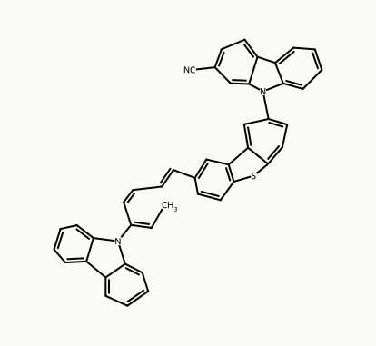 C\C=C(/C=C\C=C\c1ccc2sc3ccc(-n4c5ccccc5c5ccc(C#N)cc54)cc3c2c1)n1c2ccccc2c2ccccc21